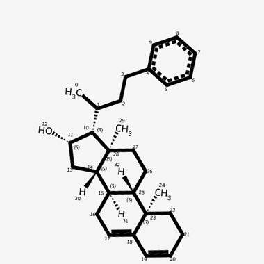 CC(CCc1ccccc1)[C@H]1[C@@H](O)C[C@H]2[C@@H]3CC=C4C=CCC[C@]4(C)[C@H]3CC[C@@]21C